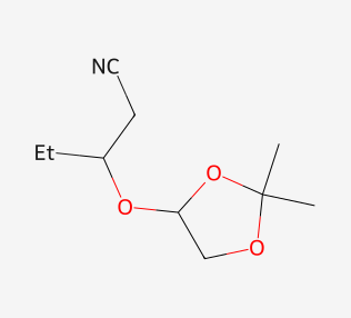 CCC(CC#N)OC1COC(C)(C)O1